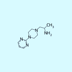 CC(N)CN1CCN(c2ncccn2)CC1